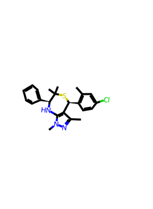 Cc1cc(Cl)ccc1[C@@H]1SC(C)(C)[C@H](c2ccccc2)Nc2c1c(C)nn2C